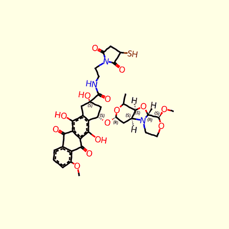 COc1cccc2c1C(=O)c1c(O)c3c(c(O)c1C2=O)C[C@@](O)(C(=O)NCCN1C(=O)CC(S)C1=O)C[C@@H]3O[C@H]1C[C@H]2[C@H](O[C@@H]3[C@@H](OC)OCCN32)C(C)O1